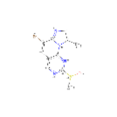 CC1CN=C2C(Br)=Cc3cnc([S+](C)[O-])nc3N21